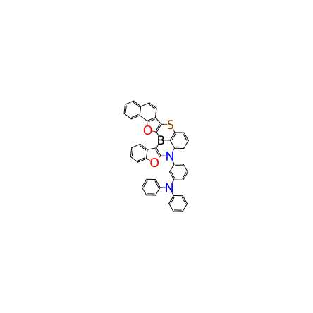 c1ccc(N(c2ccccc2)c2cccc(N3c4cccc5c4B(c4oc6c(ccc7ccccc76)c4S5)c4c3oc3ccccc43)c2)cc1